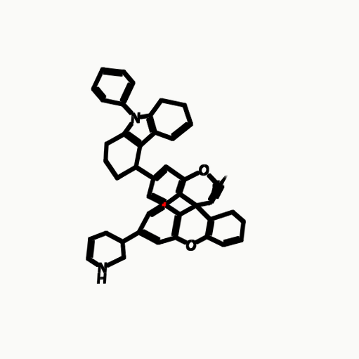 C1=CC2=C(CC1)C1(c3ccc(C4CC=CNC4)cc3O2)c2ccccc2Oc2cc(C3CCCc4c3c3c(n4-c4ccccc4)CCC=C3)ccc21